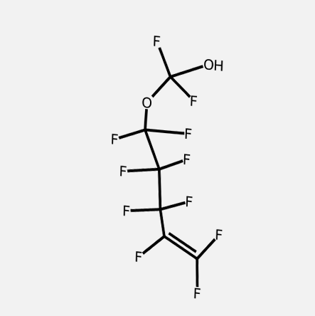 OC(F)(F)OC(F)(F)C(F)(F)C(F)(F)C(F)=C(F)F